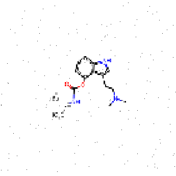 CC[C@H](C)[C@H](NC(=O)Oc1cccc2[nH]cc(CCN(C)C)c12)C(=O)O